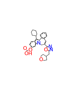 O=C(O)Oc1ccc2c(C3CCCCC3)c3n(c2c1)CC(c1nnc(CC2CCOCC2)o1)=Cc1ccccc1-3